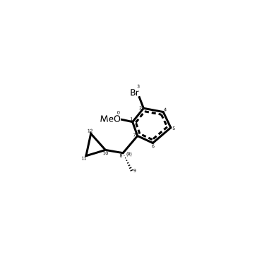 COc1c(Br)cccc1[C@H](C)C1CC1